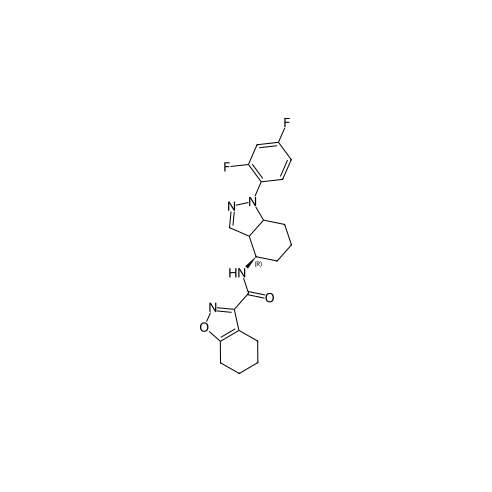 O=C(N[C@@H]1CCCC2C1C=NN2c1ccc(F)cc1F)c1noc2c1CCCC2